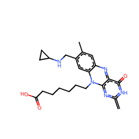 C=c1nc2c(c(=O)[nH]1)=Nc1cc(C)c(CNC3CC3)cc1N2CCCCCCC(=O)O